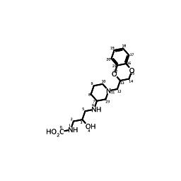 O=C(O)NCC(O)CNC1CCCN(CC2COc3ccccc3O2)C1